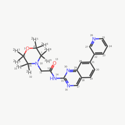 [2H]C1([2H])OC([2H])([2H])C([2H])([2H])N(CC(=O)Nc2ncc3ccc(-c4cccnc4)cc3n2)C1([2H])[2H]